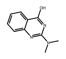 CN(C)c1nc(O)c2ccccc2n1